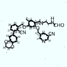 Cc1cc(CNCCNC=O)c(OCc2cncc(C#N)c2)cc1OCc1cccc(-c2ccc3c(c2)OCCO3)c1C#N